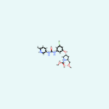 COC[C@@H]1C[C@@H](Oc2cc(F)cc(NC(=O)Nc3ccc(C)nc3)c2)CN1C(=O)OC